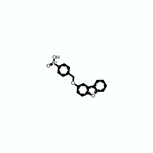 O=[N+](O)c1ccc(COc2ccc3oc4ccccc4c3c2)cc1